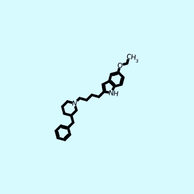 CCOc1ccc2[nH]c(CCCCN3CCCC(Cc4ccccc4)C3)cc2c1